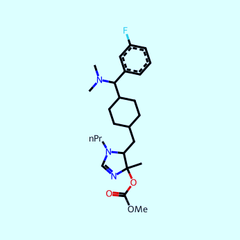 CCCN1C=NC(C)(OC(=O)OC)C1CC1CCC(C(c2cccc(F)c2)N(C)C)CC1